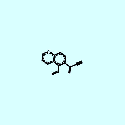 C#CC(=C)c1ccc2ncccc2c1C=C